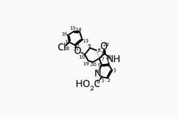 O=C(O)c1ccc2c(n1)[C@]1(CC[C@H](Oc3ccccc3Cl)CC1)C(=O)N2